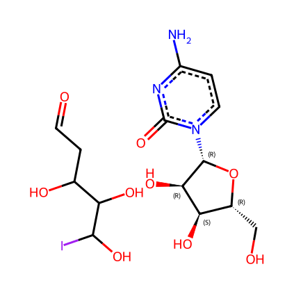 Nc1ccn([C@@H]2O[C@H](CO)[C@@H](O)[C@H]2O)c(=O)n1.O=CCC(O)C(O)C(O)I